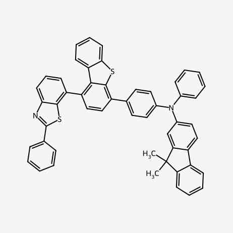 CC1(C)c2ccccc2-c2ccc(N(c3ccccc3)c3ccc(-c4ccc(-c5cccc6nc(-c7ccccc7)sc56)c5c4sc4ccccc45)cc3)cc21